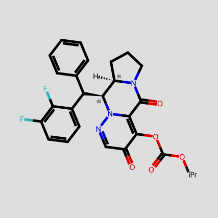 CC(C)OC(=O)Oc1c2n(ncc1=O)[C@@H](C(c1ccccc1)c1cccc(F)c1F)[C@H]1CCCN1C2=O